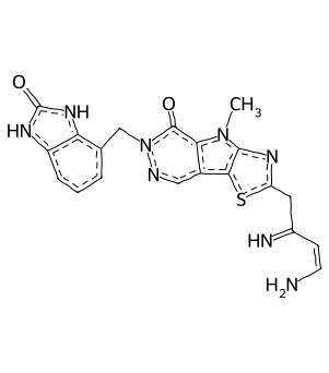 Cn1c2nc(CC(=N)/C=C\N)sc2c2cnn(Cc3cccc4[nH]c(=O)[nH]c34)c(=O)c21